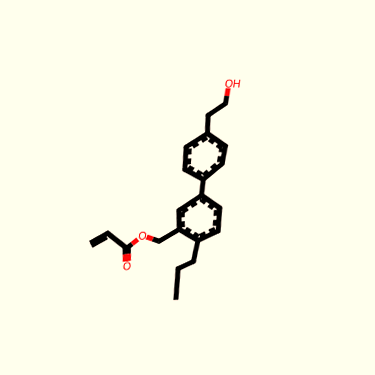 C=CC(=O)OCc1cc(-c2ccc(CCO)cc2)ccc1CCC